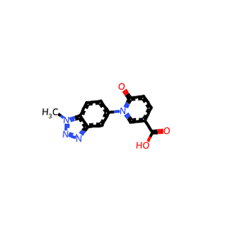 Cn1nnc2cc(-n3cc(C(=O)O)ccc3=O)ccc21